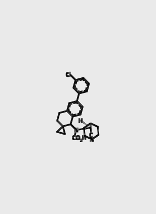 O=C(O)N(C1c2ccc(-c3cccc(Cl)c3)cc2CCC12CC2)[C@@H]1CN2CCC1CC2